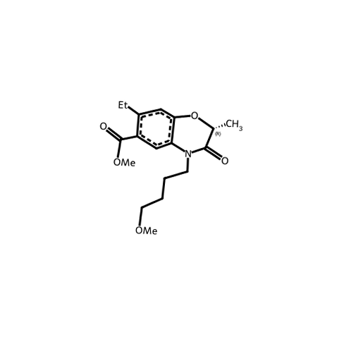 CCc1cc2c(cc1C(=O)OC)N(CCCCOC)C(=O)[C@@H](C)O2